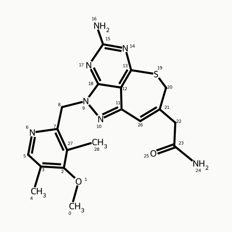 COc1c(C)cnc(Cn2nc3c4c(nc(N)nc42)SCC(CC(N)=O)=C3)c1C